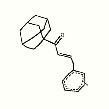 O=C(C=Cc1cccnc1)C12CC3CC(CC(C3)C1)C2